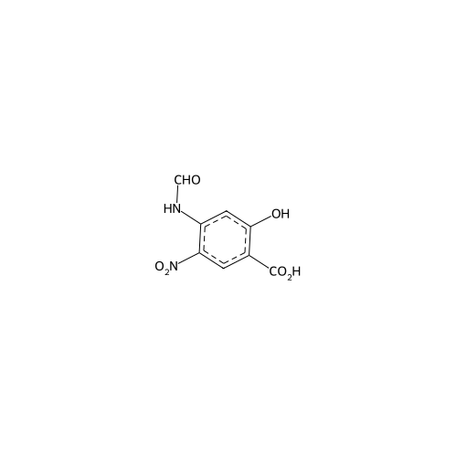 O=CNc1cc(O)c(C(=O)O)cc1[N+](=O)[O-]